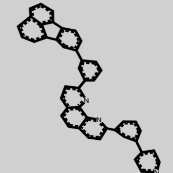 c1cc(-c2ccncc2)cc(-c2ccc3ccc4ccc(-c5cccc(-c6ccc7c(c6)-c6cccc8cccc-7c68)c5)nc4c3n2)c1